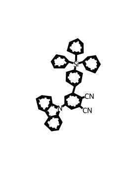 N#Cc1cc(-n2c3ccccc3c3ccccc32)cc(-c2ccc([Si](c3ccccc3)(c3ccccc3)c3ccccc3)cc2)c1C#N